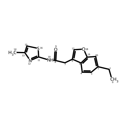 CCc1ccc2c(CC(=O)Nc3nc(C)cs3)coc2c1